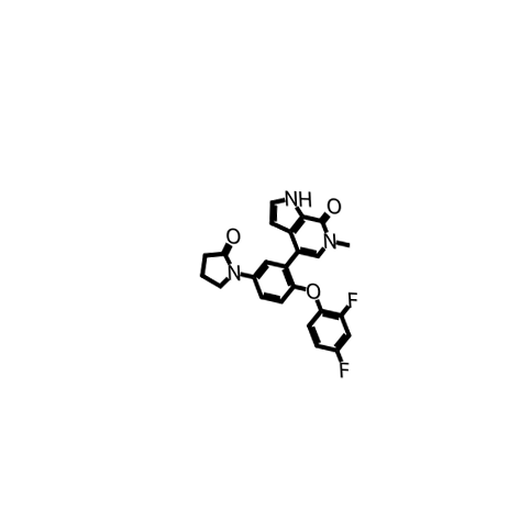 Cn1cc(-c2cc(N3CCCC3=O)ccc2Oc2ccc(F)cc2F)c2cc[nH]c2c1=O